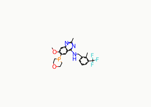 COc1cc2nc(C)nc(NCc3cccc(C(F)(F)F)c3C)c2cc1P1CCOCC1